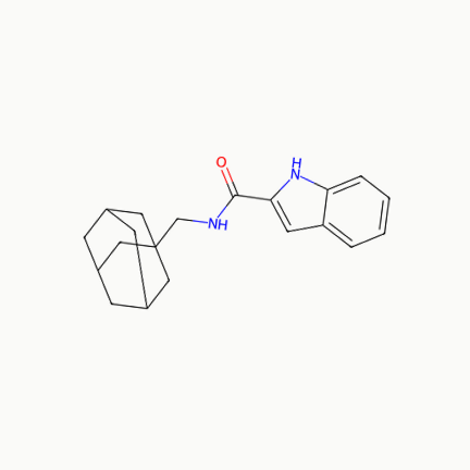 O=C(NCC12CC3CC(CC(C3)C1)C2)c1cc2ccccc2[nH]1